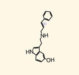 Oc1ccc2[nH]cc(CCNC/C=C/c3ccccc3)c2c1